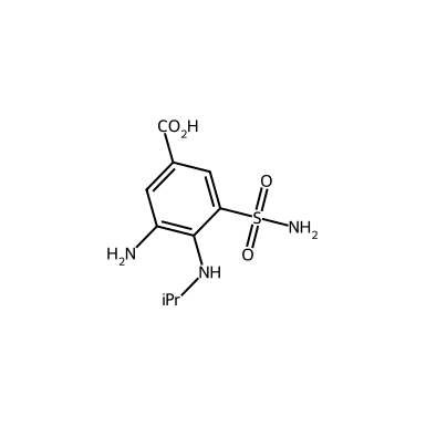 CC(C)Nc1c(N)cc(C(=O)O)cc1S(N)(=O)=O